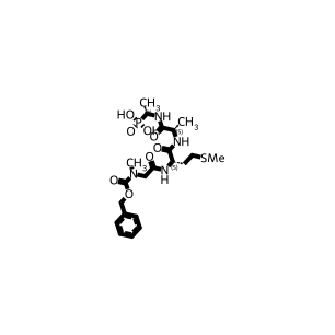 CSCC[C@H](NC(=O)CN(C)C(=O)OCc1ccccc1)C(=O)N[C@@H](C)C(=O)N[C@@H](C)P(=O)(O)O